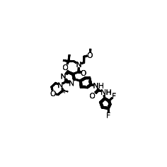 COCCN1CC(C)(C)Oc2nc(N3CCOC[C@@H]3C)nc(-c3ccc(NC(=O)Nc4ccc(F)cc4F)cc3)c2C1=O